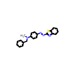 CN(Cc1ccccc1)c1ccc(N=Nc2nc3ccccc3s2)cc1